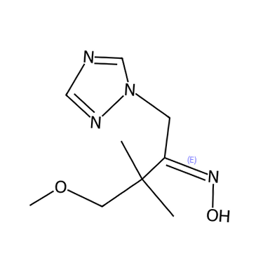 COCC(C)(C)/C(Cn1cncn1)=N\O